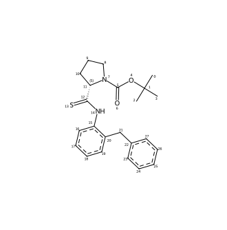 CC(C)(C)OC(=O)N1CCC[C@H]1C(=S)Nc1ccccc1Cc1ccccc1